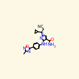 Cc1noc(-c2ccc(Nc3nn([C@H](CC#N)C4CC4)cc3C(N)=O)cc2)n1